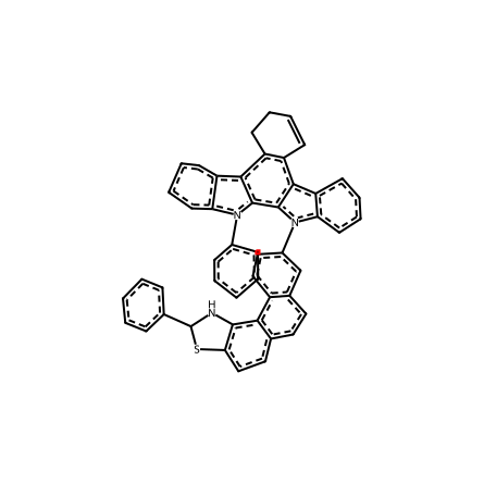 C1=Cc2c(c3c4ccccc4n(-c4ccccc4)c3c3c2c2ccccc2n3-c2ccc3c(ccc4ccc5c(c43)NC(c3ccccc3)S5)c2)CC1